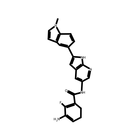 Cn1ccc2cc(-c3cc4cc(NC(=O)C5=C(F)C(N)=CCC5)cnc4[nH]3)ccc21